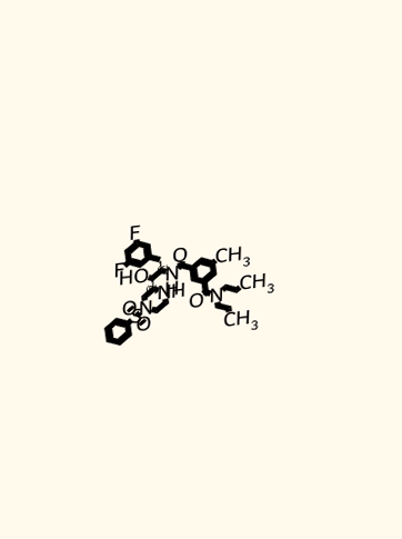 CCCN(CCC)C(=O)c1cc(C)cc(C(=O)N[C@@H](Cc2cc(F)cc(F)c2)C(O)[C@H]2CN(S(=O)(=O)c3ccccc3)CCN2)c1